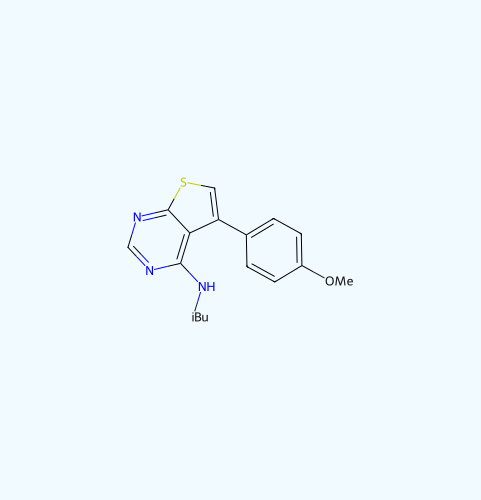 CCC(C)Nc1ncnc2scc(-c3ccc(OC)cc3)c12